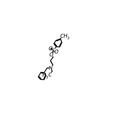 CCN(CCCOS(=O)(=O)c1ccc(C)cc1)Cc1ccccc1